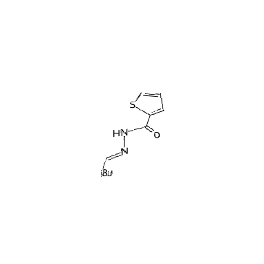 CCC(C)/C=N/NC(=O)c1cccs1